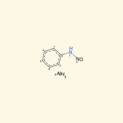 O=NNc1ccccc1.[AlH3]